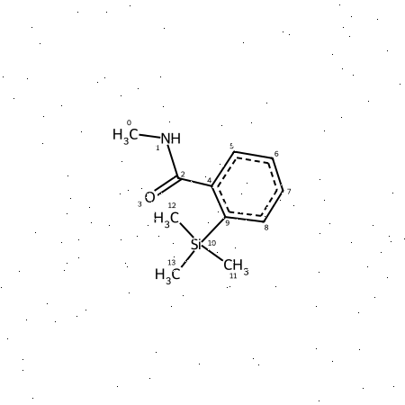 CNC(=O)c1ccccc1[Si](C)(C)C